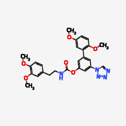 COc1ccc(OC)c(-c2cc(OC(=O)NCCc3ccc(OC)c(OC)c3)cc(-n3cnnn3)c2)c1